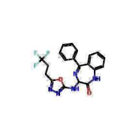 O=C1Nc2ccccc2C(c2ccccc2)=NC1Nc1nnc(CCC(F)(F)F)o1